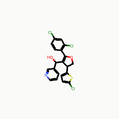 OC(C1=C(c2ccc(Cl)cc2Cl)OCC1c1ccc(Cl)s1)c1cccnc1